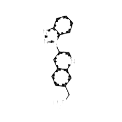 PCc1ccc2cc(-n3nnc4ccccc43)cnc2c1